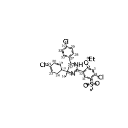 CCOc1cc(Cl)c(S(C)(=O)=O)cc1/C(=N/C(C)(C)C1C=CC(Cl)=CC1)NCc1ccc(Cl)cc1